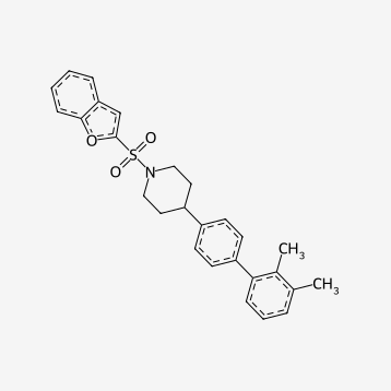 Cc1cccc(-c2ccc(C3CCN(S(=O)(=O)c4cc5ccccc5o4)CC3)cc2)c1C